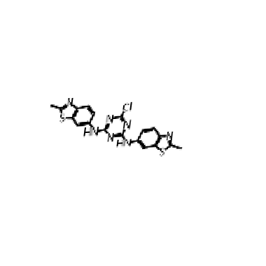 Cc1nc2ccc(Nc3nc(Cl)nc(Nc4ccc5nc(C)sc5c4)n3)cc2s1